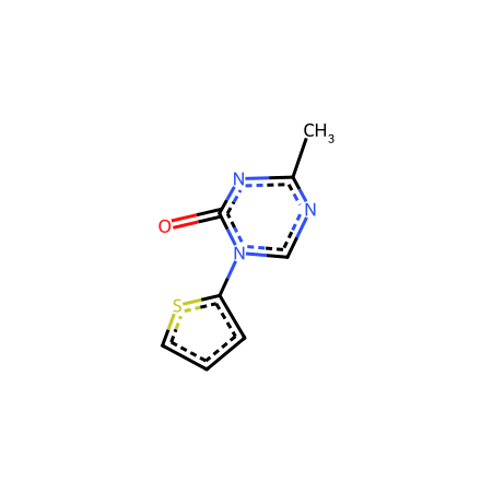 Cc1ncn(-c2cccs2)c(=O)n1